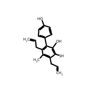 C=CCc1c(C)c(CC=C)c(-c2ccc(O)cc2)c(O)c1S